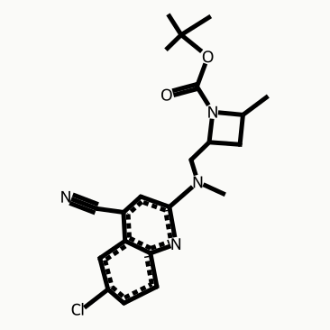 CC1CC(CN(C)c2cc(C#N)c3cc(Cl)ccc3n2)N1C(=O)OC(C)(C)C